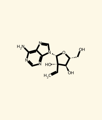 C=C[C@]1(O)[C@H](O)[C@@H](CO)O[C@H]1n1cnc2c(N)ncnc21